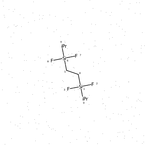 CC(C)[Si](F)(F)CC[Si](F)(F)C(C)C